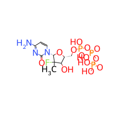 CC1(F)C(O)[C@@H](COP(=O)(O)OP(=O)(O)OP(=O)(O)O)O[C@H]1n1ccc(N)nc1=O